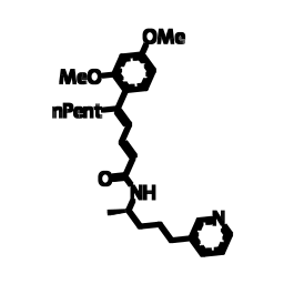 CCCCC/C(=C\C=C\C(=O)N[C@H](C)CCCc1cccnc1)c1ccc(OC)cc1OC